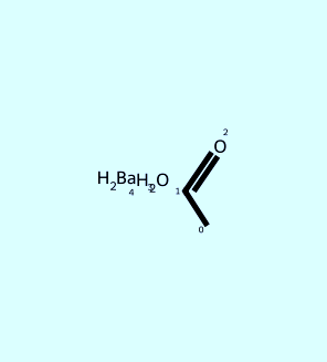 C[C]=O.O.[BaH2]